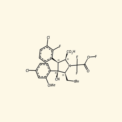 COc1cc(Cl)ccc1[C@@]1(C#N)[C@H](CC(C)(C)C)N(C(F)(F)C(=O)OF)[C@H](C(=O)O)[C@@H]1c1cccc(Cl)c1F